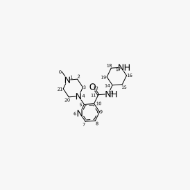 CN1CCN(c2ncccc2C(=O)NC2CCNCC2)CC1